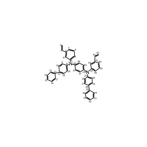 C=Cc1cccc(N(c2ccc(-c3ccccc3)cc2)c2ccc(N(c3ccc(-c4ccccc4)cc3)c3cccc(C=C)c3)cc2)c1